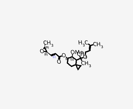 CO[C@H]1C(C(C)(C)OCC=C(C)C)C2(CC[C@H]1OC(=O)/C=C/[C@H]1O[C@@H]1C)CC2